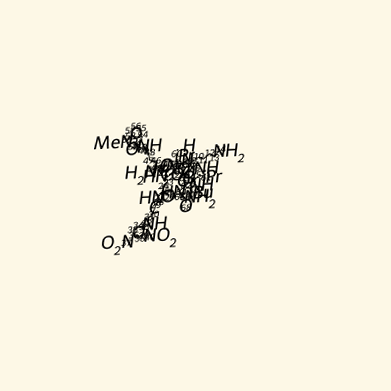 CCC(C)[C@H](NC(=O)[C@@H](NC(=O)[C@H](CCCCN)NC(=O)[C@@H](NC(=O)[C@H](CCC(=O)NCCCCNc1ccc([N+](=O)[O-])cc1[N+](=O)[O-])NC(=O)[C@@H](N)CCCCNC(=O)c1ccccc1NC)C(C)C)C(C)C)C(=O)NCC(N)=O